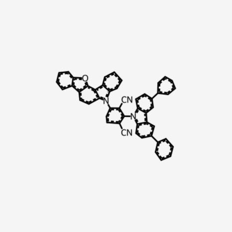 N#Cc1ccc(-n2c3ccccc3c3c4oc5ccccc5c4ccc32)c(C#N)c1-n1c2ccc(-c3ccccc3)cc2c2cc(-c3ccccc3)ccc21